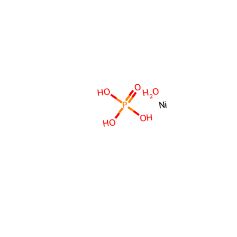 O.O=P(O)(O)O.[Ni]